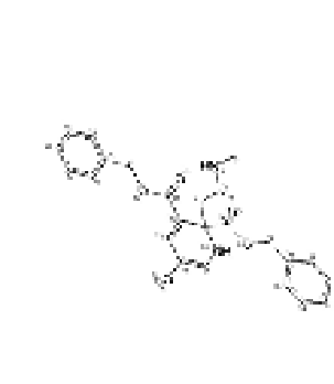 CNC(C)CC1(C(=O)OCc2ccccc2)NC=C(O)C=C1C(=O)OCc1ccccc1